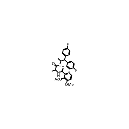 COc1ccnc(C(=O)NC(C)C(=O)OC(C)C(c2ccc(F)cc2)c2ccc(F)cc2)c1OC(C)=O